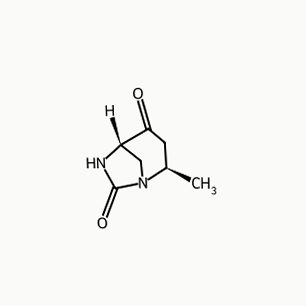 C[C@@H]1CC(=O)[C@@H]2CN1C(=O)N2